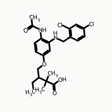 CCC(COc1ccc(NC(C)=O)c(NCc2ccc(Cl)cc2Cl)c1)C(C)(C)C(=O)O